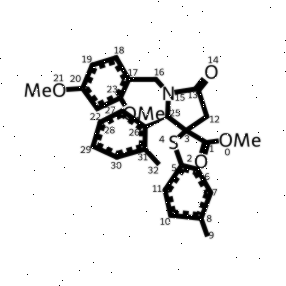 COC(=O)C1(Sc2ccc(C)cc2)CC(=O)N(Cc2ccc(OC)cc2OC)[C@@H]1c1ccccc1C